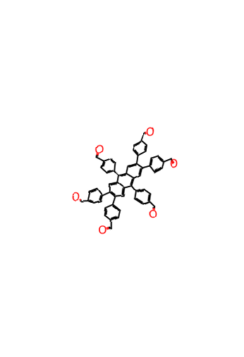 O=Cc1ccc(-c2cc3c(-c4ccc(C=O)cc4)c4cc(-c5ccc(C=O)cc5)c(-c5ccc(C=O)cc5)cc4c(-c4ccc(C=O)cc4)c3cc2-c2ccc(C=O)cc2)cc1